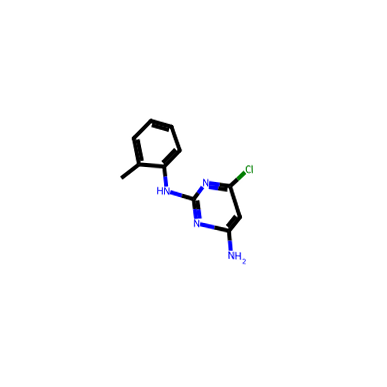 Cc1ccccc1Nc1nc(N)cc(Cl)n1